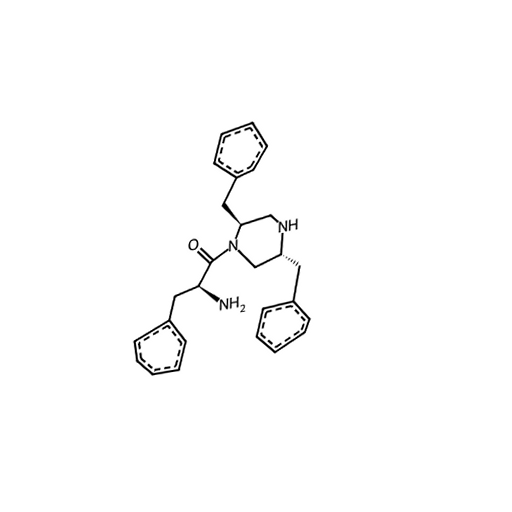 N[C@@H](Cc1ccccc1)C(=O)N1C[C@@H](Cc2ccccc2)NC[C@@H]1Cc1ccccc1